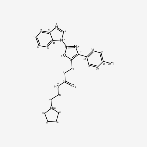 O=C(CCc1oc(-n2cnc3ccccc32)nc1-c1ccc(Cl)cc1)NCCN1CCCC1